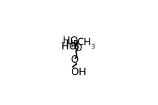 C[PH](O)(O)OCCOCCO